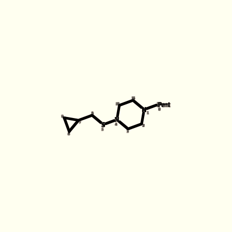 CCCC(C)N1CCN(SCC2CC2)CC1